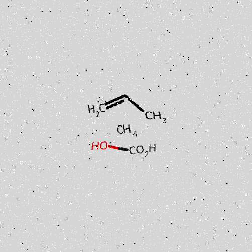 C.C=CC.O=C(O)O